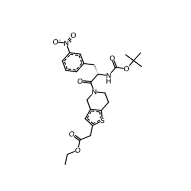 CCOC(=O)Cc1cc2c(s1)CCN(C(=O)[C@H](Cc1cccc([N+](=O)[O-])c1)NC(=O)OC(C)(C)C)C2